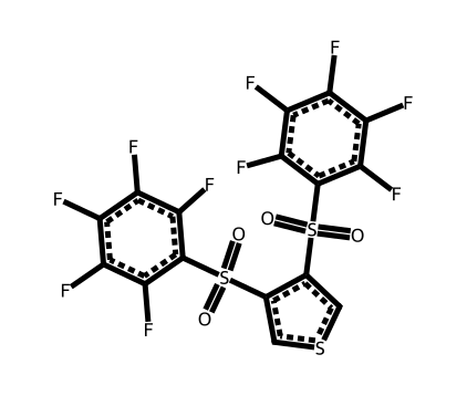 O=S(=O)(c1cscc1S(=O)(=O)c1c(F)c(F)c(F)c(F)c1F)c1c(F)c(F)c(F)c(F)c1F